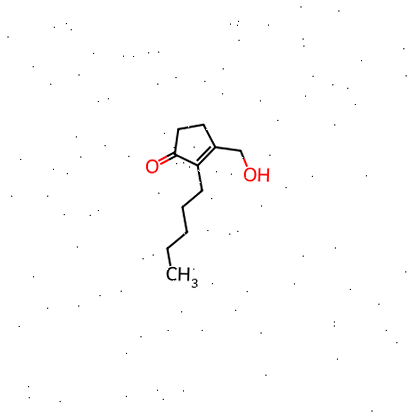 CCCCCC1=C(CO)CCC1=O